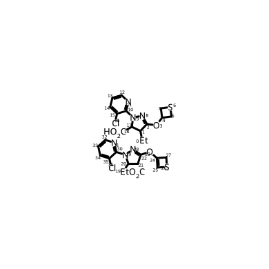 CCC1C(OC2CSC2)=NN(c2ncccc2Cl)C1C(=O)O.CCOC(=O)C1CC(OC2=CSC2)=NN1c1ncccc1Cl